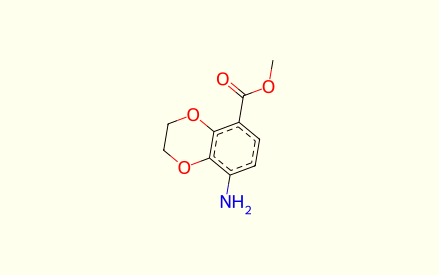 COC(=O)c1ccc(N)c2c1OCCO2